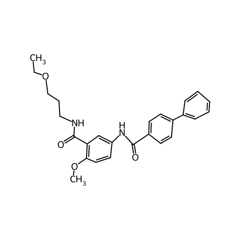 CCOCCCNC(=O)c1cc(NC(=O)c2ccc(-c3ccccc3)cc2)ccc1OC